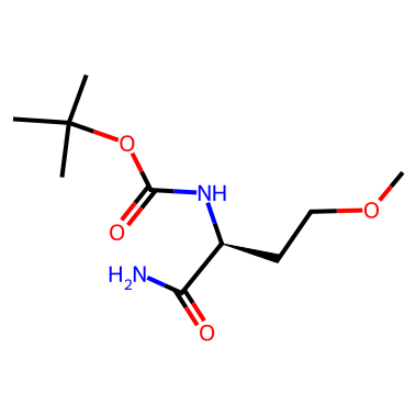 COCC[C@H](NC(=O)OC(C)(C)C)C(N)=O